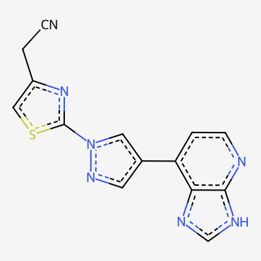 N#CCc1csc(-n2cc(-c3ccnc4[nH]cnc34)cn2)n1